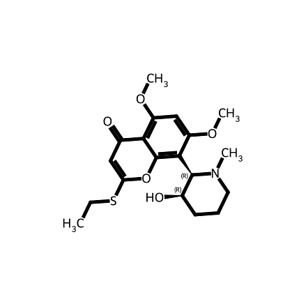 CCSc1cc(=O)c2c(OC)cc(OC)c([C@@H]3[C@H](O)CCCN3C)c2o1